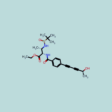 CCOC(=O)[C@@H](NC(=O)c1ccc(C#CC#C[C@H](C)O)cc1)[C@H](C)N[S+]([O-])C(C)(C)C